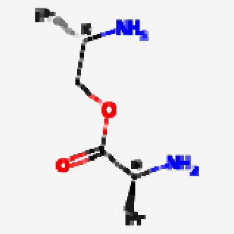 CC(C)[C@H](N)COC(=O)[C@@H](N)C(C)C